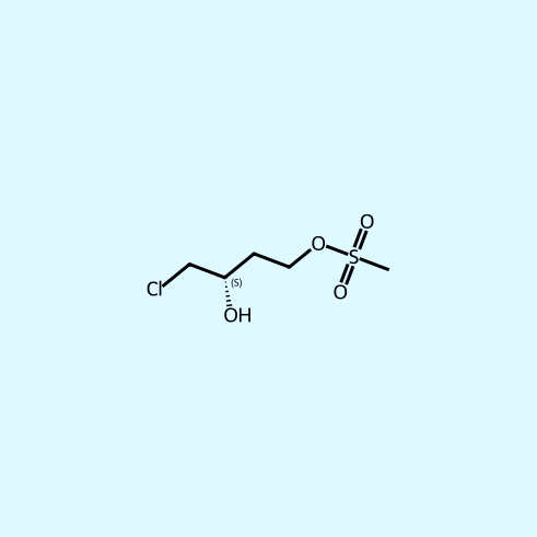 CS(=O)(=O)OCC[C@H](O)CCl